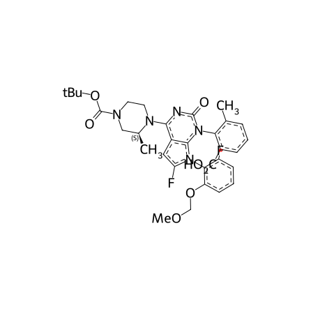 COCOc1cccc(F)c1-n1c(F)cc2c(N3CCN(C(=O)OC(C)(C)C)C[C@@H]3C)nc(=O)n(-c3c(C)cccc3C(=O)O)c21